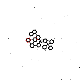 c1ccc(-c2ccccc2-c2c(-c3ccccc3)cccc2-c2cccc(N(c3ccc(-c4cccc5ccccc45)cc3)c3ccc4c(c3)C(c3ccccc3)(c3ccccc3)c3ccccc3-4)c2)cc1